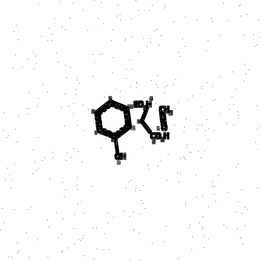 C=O.O=C(O)CS(=O)(=O)O.Oc1ccccc1